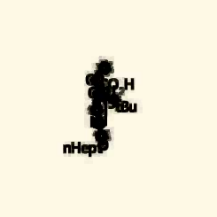 CCCCCCCOc1ccc(-c2cnc(-c3ccc(CC(NC(=O)c4ccc(C(C)(C)C)s4)C(=O)NC(CC(=O)OCc4ccccc4)C(=O)O)cc3)nc2)cc1